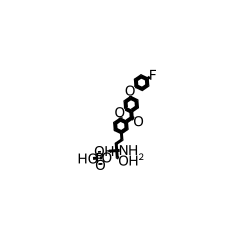 NC(CO)(CCc1ccc2oc3cc(Oc4ccc(F)cc4)ccc3c(=O)c2c1)COP(=O)(O)O